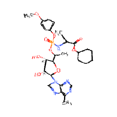 COc1ccc(OP(=O)(NC(C)C(=O)OC2CCCCC2)OC(C)C2OC(n3cnc4c(C)ncnc43)[C@H](O)[C@@H]2O)cc1